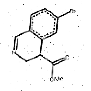 COC(=O)C1CN=Cc2ccc(Br)cc21